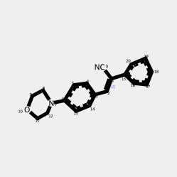 N#C/C(=C\c1ccc(N2CCOCC2)cc1)c1ccccc1